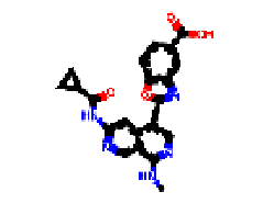 CNc1ncc(-c2nc3cc(C(=O)O)ccc3o2)c2cc(NC(=O)C3CC3)ncc12